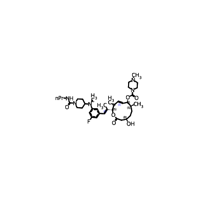 CCCNC(=O)N1CCC(N(C)c2cc(F)cc(/C=C(\C)[C@H]3OC(=O)C[C@H](O)CC[C@H](C)[C@@H](OC(=O)N4CCN(C)CC4)/C=C/[C@@H]3C)c2)CC1